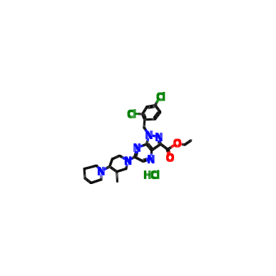 CCOC(=O)c1nn(Cc2ccc(Cl)cc2Cl)c2nc(N3CCC(N4CCCCC4)C(C)C3)cnc12.Cl